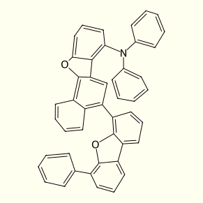 c1ccc(-c2cccc3c2oc2c(-c4cc5c(oc6cccc(N(c7ccccc7)c7ccccc7)c65)c5ccccc45)cccc23)cc1